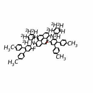 [2H]c1c([2H])c([2H])c(N(c2cc(-c3ccc(C)cc3)c(-c3ccc(C)cc3)cc2F)c2ccc3ccc4c(N(c5cc(-c6ccc(C)cc6)c(-c6ccc(C)cc6)cc5F)c5c([2H])c([2H])c([2H])c([2H])c5[2H])ccc5ccc2c3c54)c([2H])c1[2H]